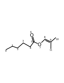 CCCCCC(=O)OC=C(C)C